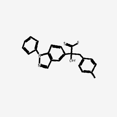 Cc1ccc(CC(O)(C(F)=S)c2ccc3c(cnn3-c3ccccc3)c2)cc1